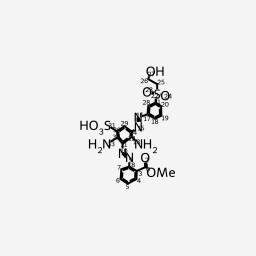 COC(=O)c1ccccc1/N=N/c1c(N)c(/N=N/c2cccc(S(=O)(=O)CCO)c2)cc(S(=O)(=O)O)c1N